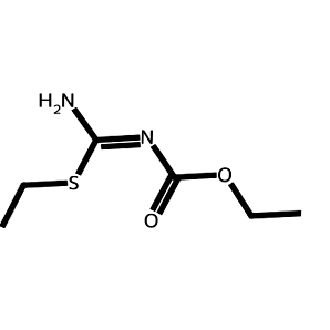 CCOC(=O)N=C(N)SCC